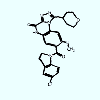 COc1cc2c(cc1C(=O)N1CCc3cc(Cl)ccc31)[nH]c(=O)c1nnc(C3CCOCC3)n12